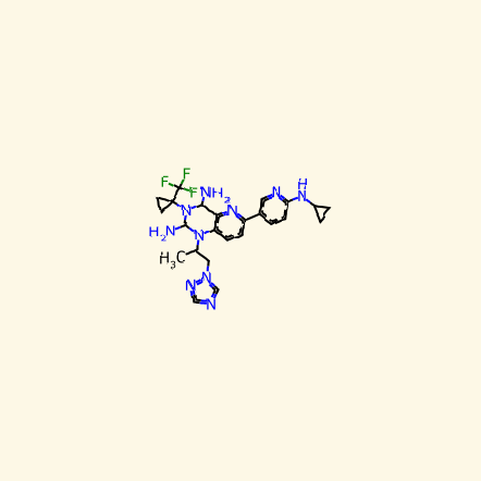 CC(Cn1cncn1)N1c2ccc(-c3ccc(NC4CC4)nc3)nc2C(N)N(C2(C(F)(F)F)CC2)C1N